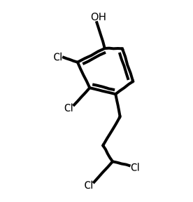 Oc1ccc(CCC(Cl)Cl)c(Cl)c1Cl